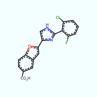 O=C(O)c1ccc2oc(-c3c[nH]c(-c4c(F)cccc4Cl)n3)cc2c1